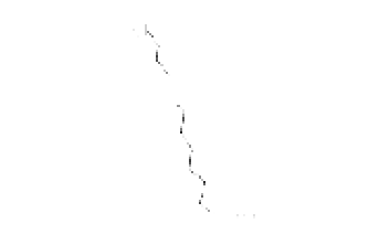 CCCCCCCCCCCCOCCCCl